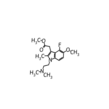 COC(=O)Cc1c(C)n(CCN(C)C)c2ccc(OC)c(F)c12